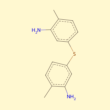 Cc1ccc(Sc2ccc(C)c(N)c2)cc1N